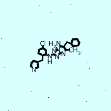 Cc1nc2nc(Nc3cc(Cl)ccc3Cc3cccnc3)nn2c(N)c1Cc1ccccc1